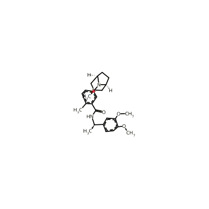 COc1ccc([C@@H](C)NC(=O)c2cc(N3[C@@H]4CC[C@H]3CN(C)C4)ccc2C)cc1OC